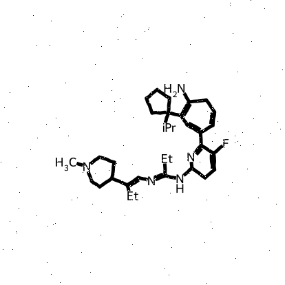 CC/C(=C\N=C(/CC)NC1CC=C(F)C(C2=CC(C3(C(C)C)CCCC3)=C(N)CC=C2)=N1)C1CCN(C)CC1